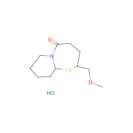 COCC1CCC(=O)N2CCCCC2S1.Cl